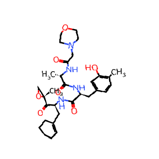 Cc1ccc(C[C@H](NC(=O)[C@H](C)NC(=O)CN2CCOCC2)C(=O)N[C@@H](CC2=CCCCC2)C(=O)[C@@]2(C)CO2)cc1O